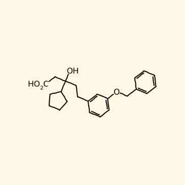 O=C(O)CC(O)(CCc1cccc(OCc2ccccc2)c1)C1CCCC1